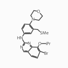 CSCc1cc(Nc2ncc3ccc(Br)c(OC(C)C)c3n2)ccc1N1CCOCC1